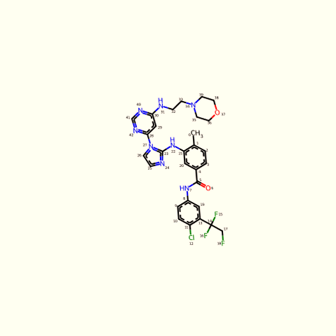 Cc1ccc(C(=O)Nc2ccc(Cl)c(C(F)(F)CF)c2)cc1Nc1nccn1-c1cc(NCCN2CCOCC2)ncn1